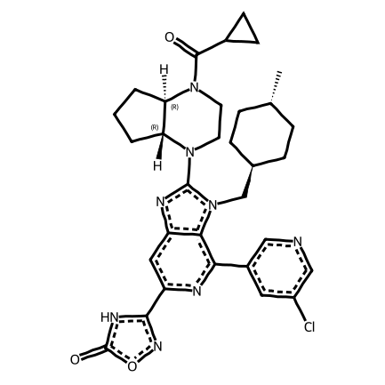 C[C@H]1CC[C@H](Cn2c(N3CCN(C(=O)C4CC4)[C@@H]4CCC[C@H]43)nc3cc(-c4noc(=O)[nH]4)nc(-c4cncc(Cl)c4)c32)CC1